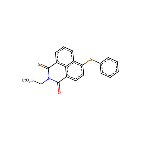 CCOC(=O)CN1C(=O)c2ccc(Sc3ccccc3)c3cccc(c23)C1=S